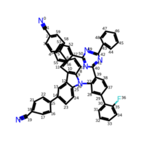 N#Cc1ccc(-c2ccc3c(c2)c2cc(-c4ccc(C#N)cc4)ccc2n3-c2cc(-c3ccccc3F)ccc2-c2nc(-c3ccccc3)nc(-c3ccccc3)n2)cc1